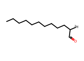 [2H]C([C]=O)CCCCCCCCCC